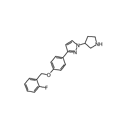 Fc1ccccc1COc1ccc(-c2ccn(C3CCNC3)n2)cc1